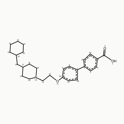 O=C(O)c1ccc(-c2ccc(OCCN3CCC(CC4CCCCC4)CC3)cc2)cc1